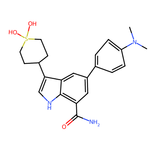 CN(C)c1ccc(-c2cc(C(N)=O)c3[nH]cc(C4CCS(O)(O)CC4)c3c2)cc1